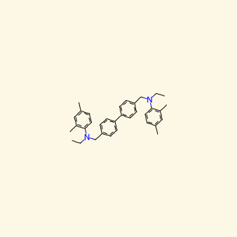 CCN(Cc1ccc(-c2ccc(CN(CC)c3ccc(C)cc3C)cc2)cc1)c1ccc(C)cc1C